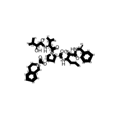 CCCC(NC(=O)[C@@H]1C[C@H](OC(=O)N2CCc3ccccc3C2)CN1C(=O)[C@@H](NC(=O)[C@@H](O)C(C)C)C(C)C)C(=O)C(=O)N[C@@H](C)c1ccccc1